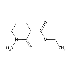 BN1CCCC(C(=O)OCC)C1=O